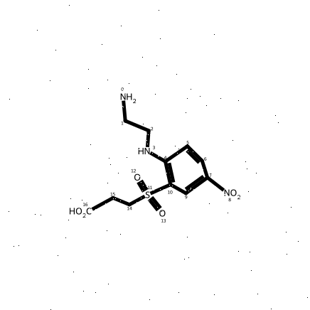 NCCNc1ccc([N+](=O)[O-])cc1S(=O)(=O)CCC(=O)O